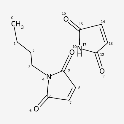 CCCCN1C(=O)C=CC1=O.O=C1C=CC(=O)N1